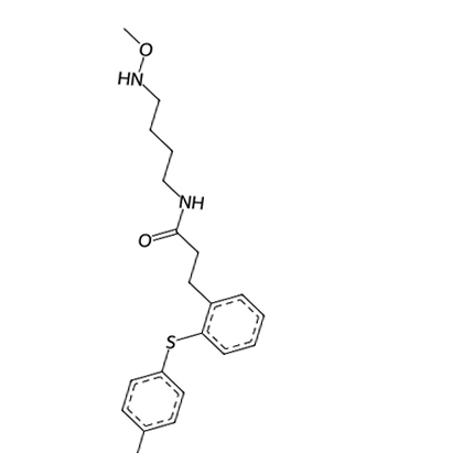 CONCCCCNC(=O)CCc1ccccc1Sc1ccc(Cl)cc1